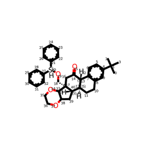 CC(C)(C)c1ccc2c(c1)CC[C@@H]1[C@@H]2C(=O)C[C@]2(CO[SiH](c3ccccc3)c3ccccc3)C3OCCOC3C[C@@H]12